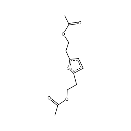 CC(=O)OCCc1ccc(CCOC(C)=O)s1